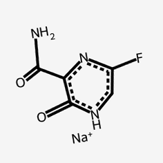 NC(=O)c1nc(F)c[nH]c1=O.[Na+]